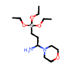 CCO[Si](CCC(N)N1CCOCC1)(OCC)OCC